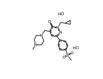 CN1CCN(Cc2cc(-c3ccc(S(C)(=O)=O)cc3)nn(CC3CC3)c2=O)CC1.Cl.Cl